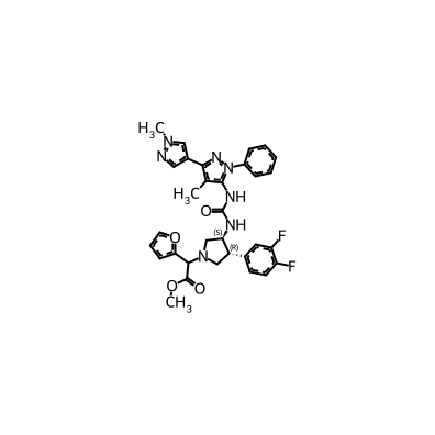 COC(=O)C(c1ccco1)N1C[C@@H](NC(=O)Nc2c(C)c(-c3cnn(C)c3)nn2-c2ccccc2)[C@H](c2ccc(F)c(F)c2)C1